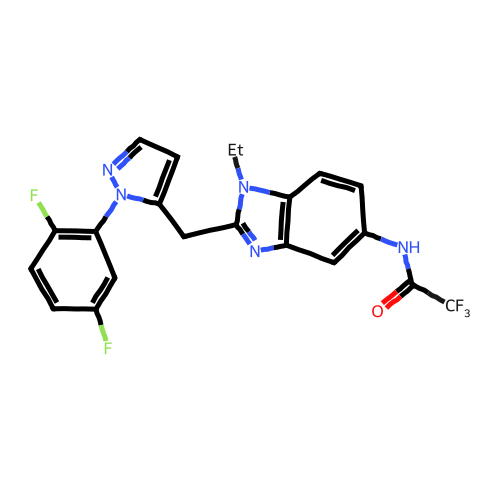 CCn1c(Cc2ccnn2-c2cc(F)ccc2F)nc2cc(NC(=O)C(F)(F)F)ccc21